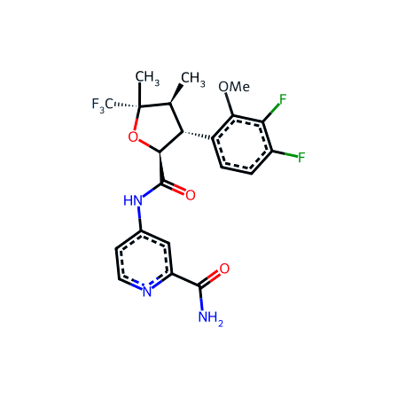 COc1c([C@@H]2[C@@H](C(=O)Nc3ccnc(C(N)=O)c3)O[C@](C)(C(F)(F)F)[C@H]2C)ccc(F)c1F